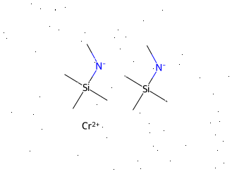 C[N-][Si](C)(C)C.C[N-][Si](C)(C)C.[Cr+2]